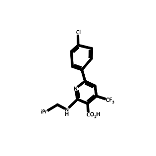 CC(C)CNc1nc(-c2ccc(Cl)cc2)cc(C(F)(F)F)c1C(=O)O